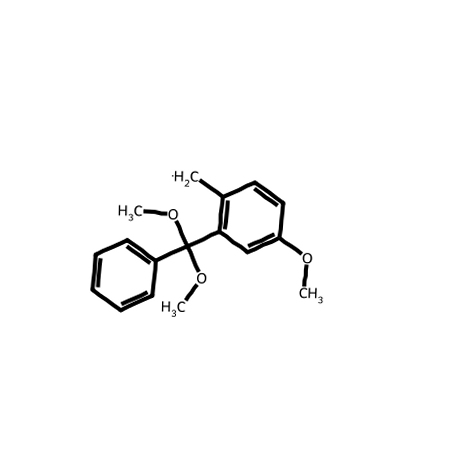 [CH2]c1ccc(OC)cc1C(OC)(OC)c1ccccc1